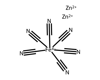 N#[C][Fe-4]([C]#N)([C]#N)([C]#N)([C]#N)[C]#N.[Zn+2].[Zn+2]